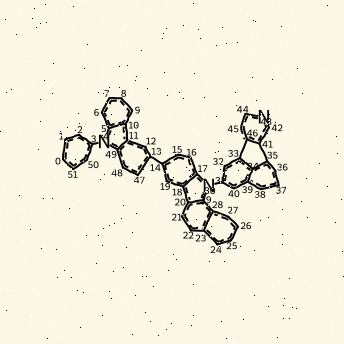 c1ccc(-n2c3ccccc3c3cc(-c4ccc5c(c4)c4ccc6ccccc6c4n5-c4cc5c6c(cccc6c4)-c4cnccc4-5)ccc32)cc1